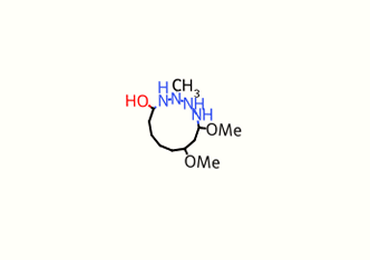 COC1CCCCC(O)NN(C)NNC(OC)C1